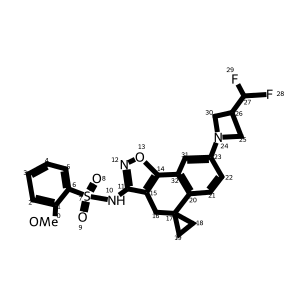 COc1ccccc1S(=O)(=O)Nc1noc2c1CC1(CC1)c1ccc(N3CC(C(F)F)C3)cc1-2